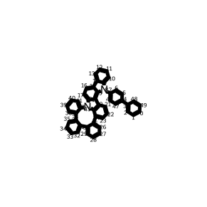 c1ccc(-c2ccc(-n3c4ccccc4c4ccc5c(c6cccc7c8ccccc8c8ccccc8c8ccccc8n5c76)c43)cc2)cc1